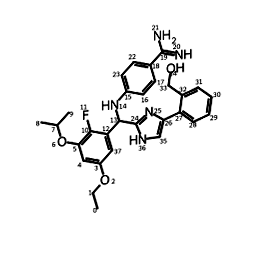 CCOc1cc(OC(C)C)c(F)c(C(Nc2ccc(C(=N)N)cc2)c2nc(-c3ccccc3CO)c[nH]2)c1